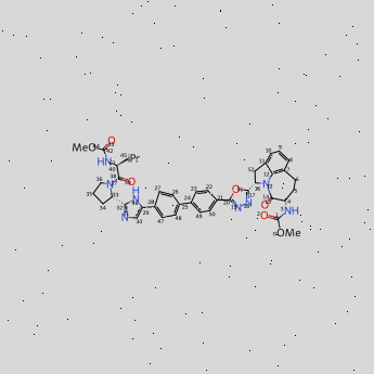 COC(=O)N[C@H]1CCc2cccc3c2N(C1=O)[C@H](c1nnc(-c2ccc(-c4ccc(-c5cnc([C@@H]6CCCN6C(=O)[C@@H](NC(=O)OC)C(C)C)[nH]5)cc4)cc2)o1)C3